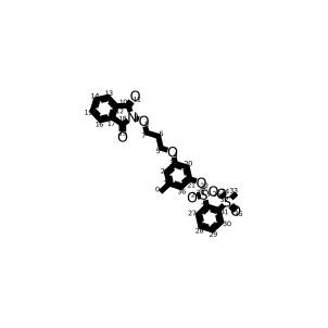 Cc1cc(OCCCON2C(=O)c3ccccc3C2=O)cc(OS(=O)(=O)c2ccccc2S(C)(=O)=O)c1